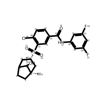 C[C@@]1(O)C2CC[C@@H]1C[C@@H](S(=O)(=O)c1cc(C(=O)Nc3cc(F)cc(F)c3)ccc1Cl)C2